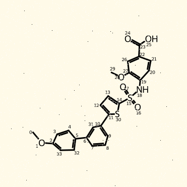 COc1ccc(-c2cccc(-c3ccc(S(=O)(=O)Nc4ccc(C(=O)O)cc4OC)s3)c2)cc1